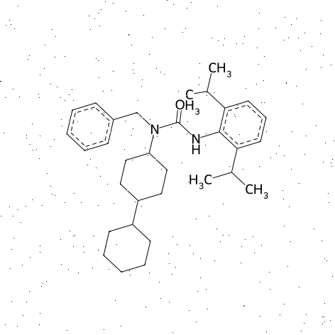 CC(C)c1cccc(C(C)C)c1NC(=O)N(Cc1ccccc1)C1CCC(C2CCCCC2)CC1